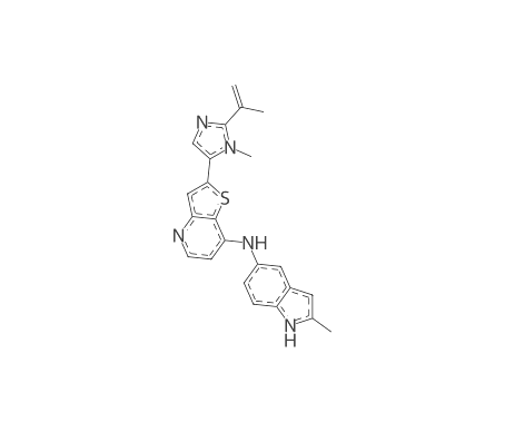 C=C(C)c1ncc(-c2cc3nccc(Nc4ccc5[nH]c(C)cc5c4)c3s2)n1C